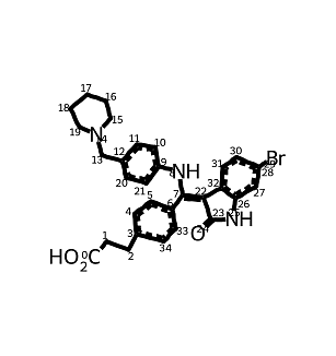 O=C(O)CCc1ccc(C(Nc2ccc(CN3CCCCC3)cc2)=C2C(=O)Nc3cc(Br)ccc32)cc1